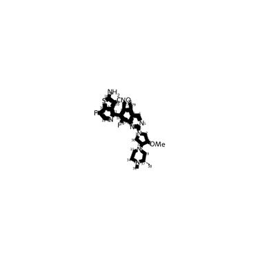 COC1CN(c2ncc3c4c(c(-c5ncc(F)c6sc(N)c(C#N)c56)c(F)c3n2)COC4)CC1N1CCN(C)[C@@H](C)C1